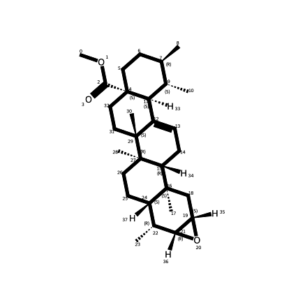 COC(=O)[C@]12CC[C@@H](C)[C@H](C)[C@H]1C1=CC[C@@H]3[C@@]4(C)C[C@@H]5O[C@@H]5[C@H](C)[C@@H]4CC[C@@]3(C)[C@]1(C)CC2